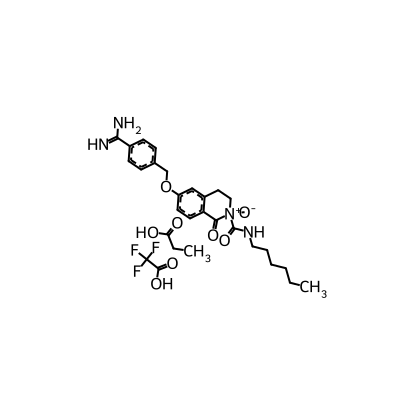 CCC(=O)O.CCCCCCNC(=O)[N+]1([O-])CCc2cc(OCc3ccc(C(=N)N)cc3)ccc2C1=O.O=C(O)C(F)(F)F